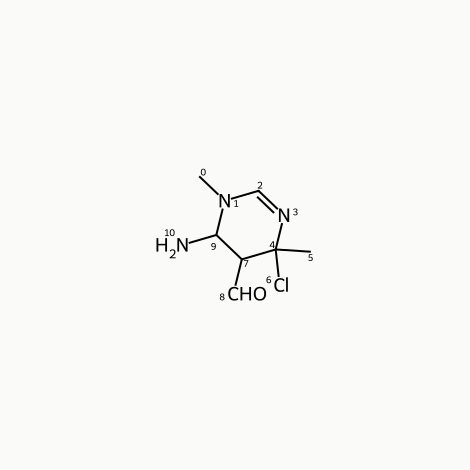 CN1C=NC(C)(Cl)C(C=O)C1N